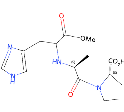 COC(=O)C(Cc1c[nH]cn1)N[C@@H](C)C(=O)N1CCC[C@H]1C(=O)O